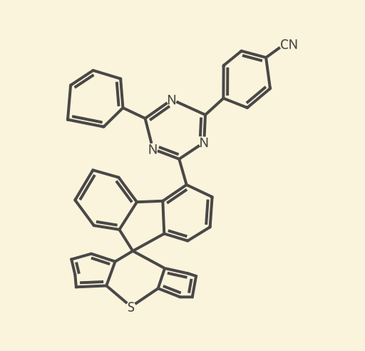 N#Cc1ccc(-c2nc(-c3ccccc3)nc(-c3cccc4c3-c3ccccc3C43c4ccccc4Sc4ccccc43)n2)cc1